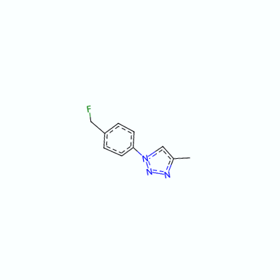 Cc1cn(-c2ccc(CF)cc2)nn1